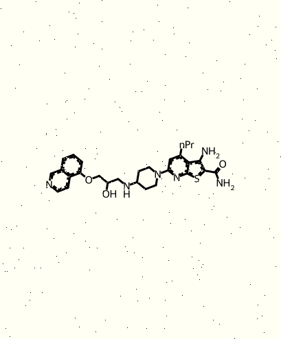 CCCc1cc(N2CCC(NCC(O)COc3cccc4cnccc34)CC2)nc2sc(C(N)=O)c(N)c12